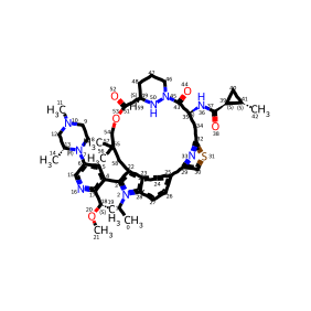 CCn1c(-c2cc(N3CCN(C)C[C@H]3C)cnc2[C@H](C)OC)c2c3cc(ccc31)-c1csc(n1)C[C@H](NC(=O)[C@H]1C[C@@H]1C)C(=O)N1CCC[C@H](N1)C(=O)OCC(C)(C)C2